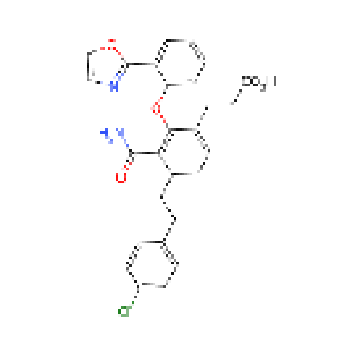 NC(=O)C1=C(Oc2ccccc2-c2ncco2)C(CCC(=O)O)=CCC1CCc1ccc(Cl)cc1